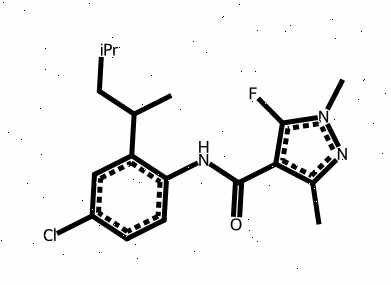 Cc1nn(C)c(F)c1C(=O)Nc1ccc(Cl)cc1C(C)CC(C)C